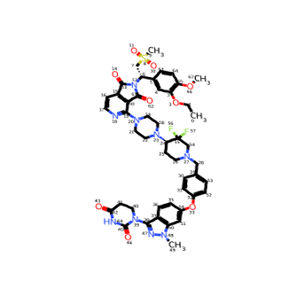 CCOc1cc([C@@H](CS(C)(=O)=O)N2C(=O)c3ccnc(N4CCN([C@@H]5CCN(Cc6ccc(Oc7ccc8c(N9CCC(=O)NC9=O)nn(C)c8c7)cc6)CC5(F)F)CC4)c3C2=O)ccc1OC